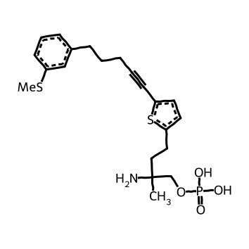 CSc1cccc(CCCC#Cc2ccc(CCC(C)(N)COP(=O)(O)O)s2)c1